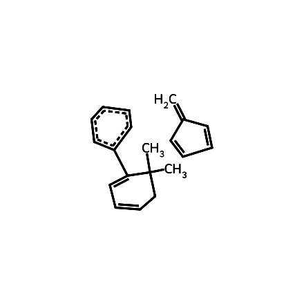 C=C1C=CC=C1.CC1(C)CC=CC=C1c1ccccc1